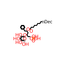 CCCCCCCCCCCCCCCCCC(=O)OC(Cc1ccccc1)CC(CCOP(=O)(O)O)O[C@@H]1O[C@H](CO)[C@@H](O)[C@H](O)[C@@H]1O